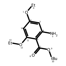 CCOc1cc(N)c(C(=O)OC(C)(C)C)c(OCC)c1